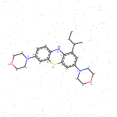 CCC(C)c1cc(N2CCOCC2)cc2c1Nc1ccc(N3CCOCC3)cc1S2